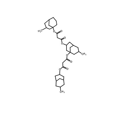 CC1CC2CC(C1)CC(OC(=O)CC(=O)OC13CC(C)CC(CC(OC(=O)CC(=O)OC45CCCC(CC(C)C4)C5)C1)C3)C2